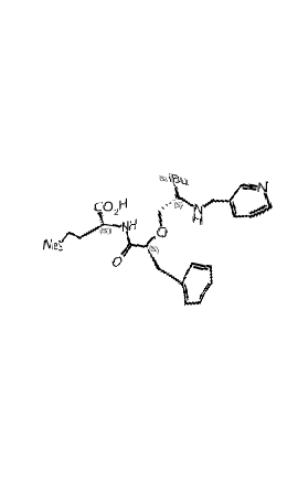 CC[C@H](C)[C@@H](CO[C@@H](Cc1ccccc1)C(=O)N[C@@H](CCSC)C(=O)O)NCc1cccnc1